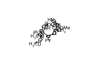 C=CC(=O)N1CCC(C(=O)N(C)[C@H](C(=O)N[C@H]2Cc3cc(cc(C(F)F)c3)-c3ccc4c(c3)c(c(-c3cc(N5CCNCC5)cnc3[C@H](C)OC)n4CC)CC(C)(C)COC(=O)[C@@H]3CCCN(N3)C2=O)C(C)C)C1